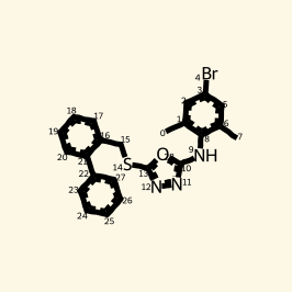 Cc1cc(Br)cc(C)c1Nc1nnc(SCc2ccccc2-c2ccccc2)o1